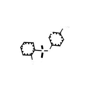 COc1ccc(NS(=O)(=O)c2ccccc2[N+](=O)[O-])cn1